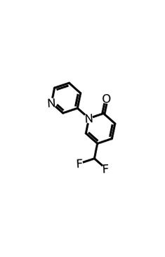 O=c1ccc(C(F)F)cn1-c1cccnc1